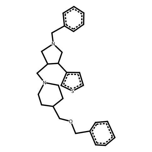 c1ccc(COCC2CCN(CC3CN(Cc4ccccc4)CC3c3ccsc3)CC2)cc1